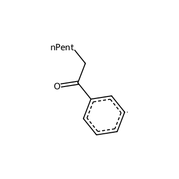 CCCCCCC(=O)c1c[c]ccc1